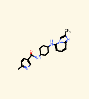 Cc1ccc(C(=O)NC2CCC(Nc3cccc4nc(C(F)(F)F)cn34)CC2)cn1